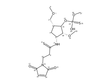 COC[C@H]1C[C@@H](NC(=S)CCN2C(=O)C=CC2=O)[C@@H](OC)C1OP(O)(=S)OC